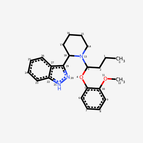 CCCC(Oc1cc[c]cc1OC)N1CCCCC1c1n[nH]c2ccccc12